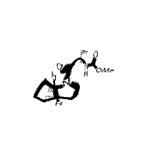 COC(=O)N[C@H](C(=O)N1CC[C@@H]2CCC[C@@H]21)C(C)C